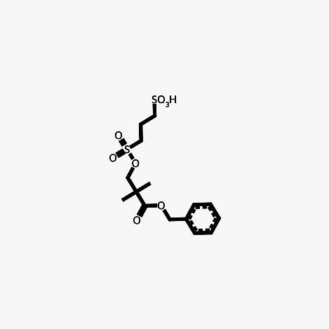 CC(C)(COS(=O)(=O)CCCS(=O)(=O)O)C(=O)OCc1ccccc1